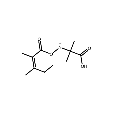 CCC(C)=C(C)C(=O)ONC(C)(C)C(=O)O